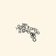 CC(C)OC(=O)[C@H](C)N[P@](=O)(OC[C@H]1O[C@@H](n2cnc3c(NC(=O)C(C)C)nc(N)nc32)[C@](C)(F)[C@@H]1O)Oc1ccccc1